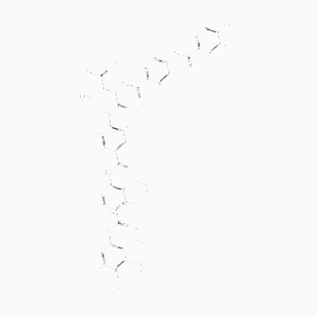 COC(C(N)=O)C(NC(=O)c1ccc(NC(=O)c2ccc([N+](=O)[O-])cc2)cc1)C(=O)Nc1ccc(C(=O)Nc2ccc(C(=O)Nc3ccc(C(=O)O)c(O)c3OC(C)C)c(O)c2OC(C)C)cc1